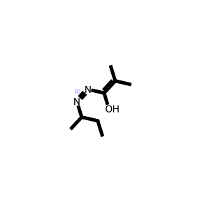 CCC(C)/N=N\C(O)=C(C)C